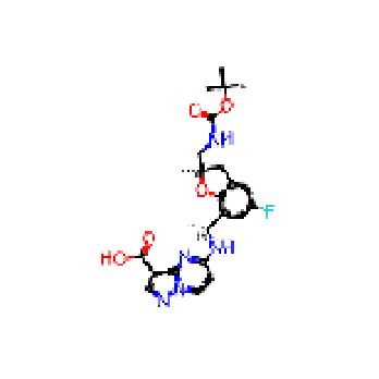 C[C@@H](Nc1ccn2ncc(C(=O)O)c2n1)c1cc(F)cc2c1O[C@@](C)(CNC(=O)OC(C)(C)C)C2